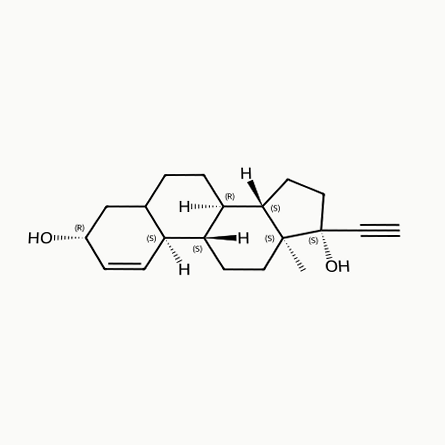 C#C[C@]1(O)CC[C@H]2[C@@H]3CCC4C[C@@H](O)C=C[C@@H]4[C@H]3CC[C@@]21C